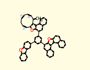 C=C1/C=C\C=C/C/C=C\c2oc3c(-c4cc(-c5ccc6oc7ccccc7c6c5)cc(-c5cc6ccccc6c6c5oc5ccc7ccccc7c56)c4)cc4ccccc4c3c21